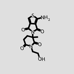 CC1(N2C(=O)c3csc(N)c3C2=O)CCC(=O)N(CCO)C1=O